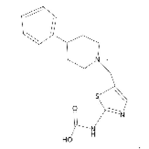 O=C(O)Nc1ncc(CN2CCC(c3ccccc3)CC2)s1